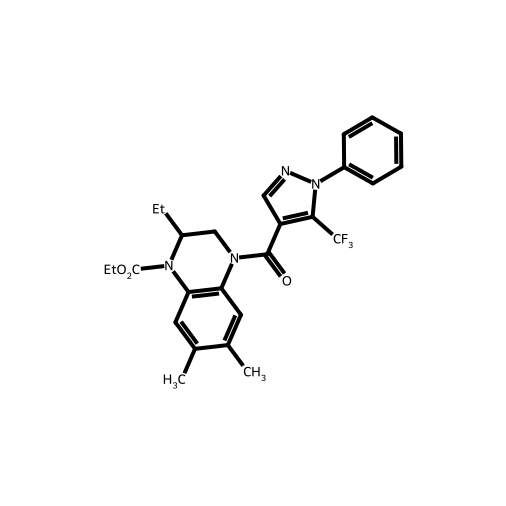 CCOC(=O)N1c2cc(C)c(C)cc2N(C(=O)c2cnn(-c3ccccc3)c2C(F)(F)F)CC1CC